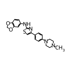 CN1CCN(c2ccc(-c3csc(Nc4ccc5c(c4)OCO5)n3)cc2)CC1